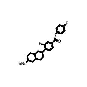 CCCCC1CCC2CC(c3ccc(C(=O)Oc4ccc(F)cc4)cc3F)CCC2C1